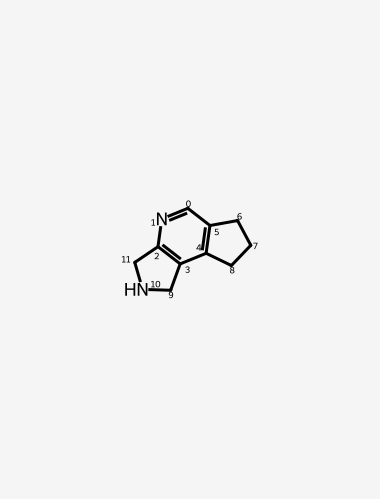 c1nc2c(c3c1CCC3)CNC2